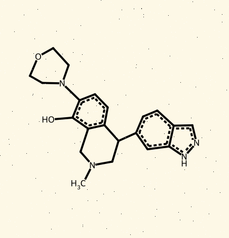 CN1Cc2c(ccc(N3CCOCC3)c2O)C(c2ccc3cn[nH]c3c2)C1